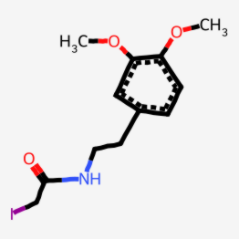 COc1ccc(CCNC(=O)CI)cc1OC